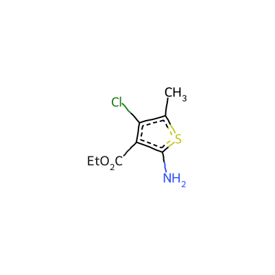 CCOC(=O)c1c(N)sc(C)c1Cl